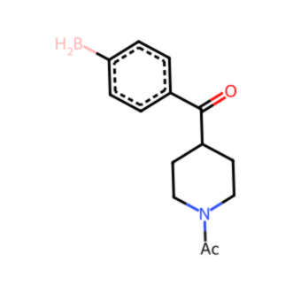 Bc1ccc(C(=O)C2CCN(C(C)=O)CC2)cc1